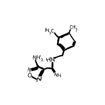 Cc1ccc(CNC(=N)c2nonc2N)cc1C